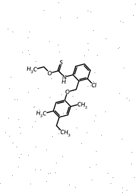 CCOC(=S)Nc1cccc(Cl)c1COc1cc(C)c(CC)cc1C